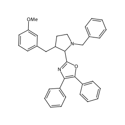 COc1cccc(CC2CCN(Cc3ccccc3)C2c2nc(-c3ccccc3)c(-c3ccccc3)o2)c1